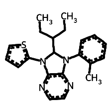 CCC(CC)C1N(c2cccs2)c2nccnc2N1c1ccccc1C